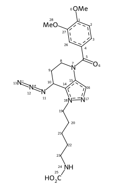 COc1ccc(C(=O)N2CCC(N=[N+]=[N-])c3c2cnn3CCCCCNC(=O)O)cc1OC